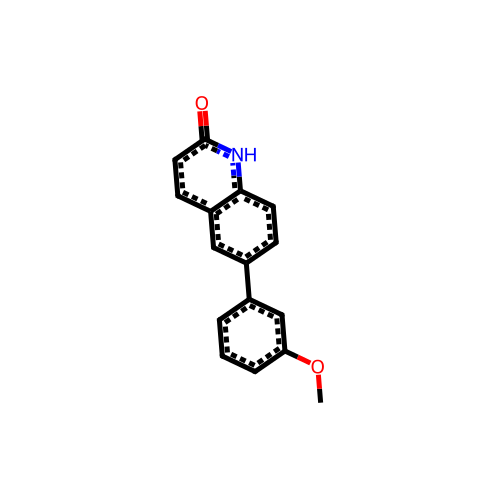 COc1cccc(-c2ccc3[nH]c(=O)ccc3c2)c1